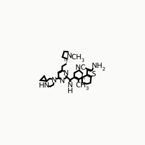 CC1=C(C(=N)c2nc(CC[C@@H]3CCCN3C)cc(N3CCNC4(CC4)C3)n2)CCC[C@@]12CCCc1sc(N)c(C#N)c12